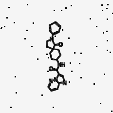 O=C(NC1CCC2(CC1)CCN(c1ccccc1)C2=O)c1cnc2cccnn12